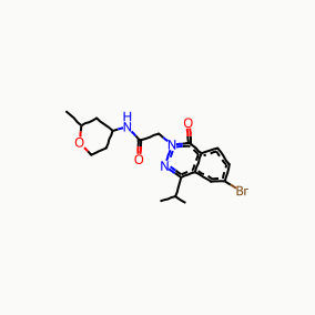 CC1CC(NC(=O)Cn2nc(C(C)C)c3cc(Br)ccc3c2=O)CCO1